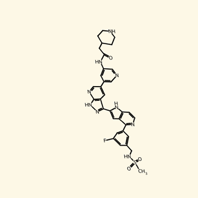 CS(=O)(=O)NCc1cc(F)cc(-c2nccc3[nH]c(-c4n[nH]c5ncc(-c6cncc(NC(=O)CC7CCNCC7)c6)cc45)cc23)c1